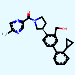 Cc1cnc(C(=O)N2CC[C@@H](c3ccc(-c4ccccc4C4CC4)cc3CO)C2)cn1